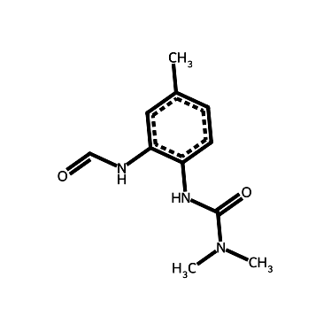 Cc1ccc(NC(=O)N(C)C)c(NC=O)c1